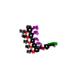 COc1ccc(P)cc1.COc1ccc(P)cc1.COc1ccc(P)cc1.COc1ccc(P)cc1.COc1ccc(P)cc1.COc1ccc(P)cc1.Cl.Cl.Cl.Cl.[Co]